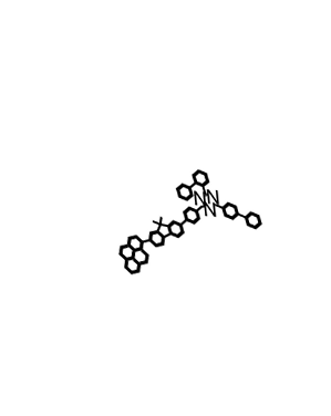 CC1(C)c2cc(-c3ccc(-c4nc(-c5ccc(-c6ccccc6)cc5)nc(-c5ccccc5-c5ccccc5)n4)cc3)ccc2-c2ccc(-c3ccc4ccc5cccc6ccc3c4c56)cc21